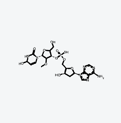 COC1[C@@H](OP(=O)(S)OCC2O[C@@H](n3cnc4c(N)ncnc43)C[C@H]2O)C(CO)O[C@H]1N1C=CC(O)NC1=O